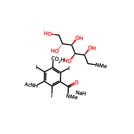 CNC(=O)c1c(I)c(NC(C)=O)c(I)c(C(=O)O)c1I.CNC[C@H](O)[C@@H](O)[C@H](O)[C@H](O)CO.[NaH]